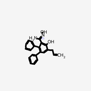 C=CCc1cc(-c2ccccc2)c(-c2ccccc2)c(/C(N)=N/O)c1O